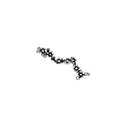 CC(C)(c1ccc(OCc2ccnc(N3CCN(C4CC5(CCN(CC6CN(c7ccc8c(c7)C(=O)N(C7CCC(=O)NC7=O)C8=O)C6)CC5)C4)CC3)n2)cc1)c1cc(Cl)cc(C#N)c1